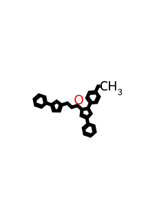 CCc1ccc(C2CC(c3ccccc3)=CC2C(=O)CCC2=CC=C(c3ccccc3)C2)cc1